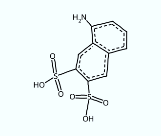 Nc1cccc2cc(S(=O)(=O)O)c(S(=O)(=O)O)cc12